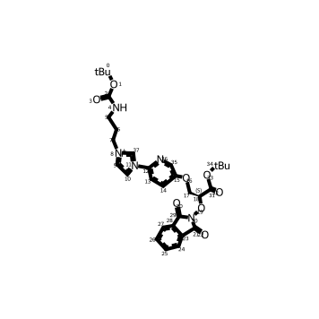 CC(C)(C)OC(=O)NCCC[n+]1ccn(-c2ccc(OC[C@H](ON3C(=O)c4ccccc4C3=O)C(=O)OC(C)(C)C)cn2)c1